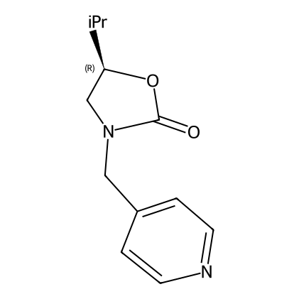 CC(C)[C@@H]1CN(Cc2ccncc2)C(=O)O1